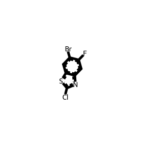 Fc1cc2nc(Cl)sc2cc1Br